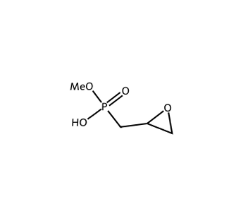 COP(=O)(O)CC1CO1